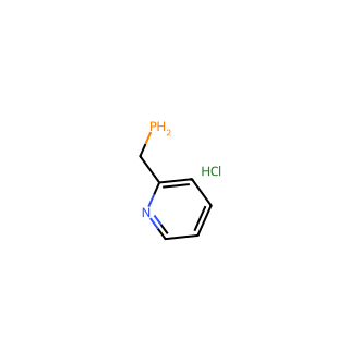 Cl.PCc1ccccn1